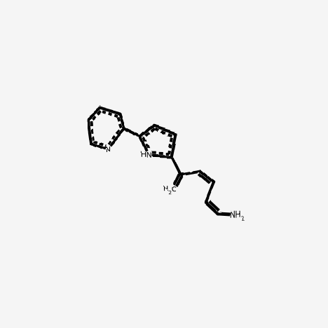 C=C(/C=C\C=C/N)c1ccc(-c2ccccn2)[nH]1